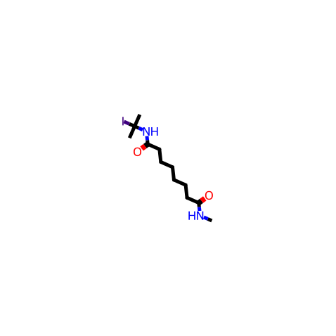 CNC(=O)CCCCCCC(=O)NC(C)(C)I